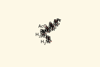 C=CCN(C)c1nc2c(N)nc3ccccc3c2n1CC(C)C.CC(=O)OCCN(C)c1nc2c(N)nc3ccccc3c2n1CC(C)C.CC(C)Cn1c(N(C)CCO)nc2c(N)nc3ccccc3c21.CC(C)Cn1c(SCc2ccccc2)nc2c(N)nc3ccccc3c21.CCCSc1nc2c(N)nc3ccccc3c2n1CC(C)C